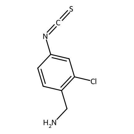 NCc1ccc(N=C=S)cc1Cl